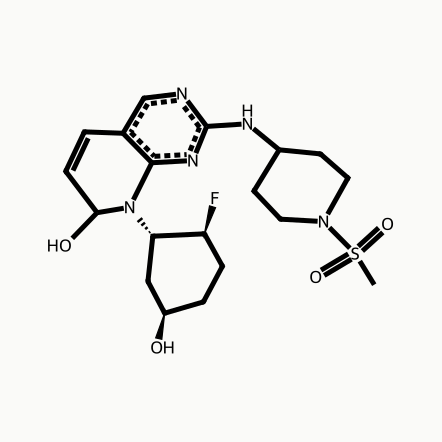 CS(=O)(=O)N1CCC(Nc2ncc3c(n2)N([C@H]2C[C@H](O)CC[C@@H]2F)C(O)C=C3)CC1